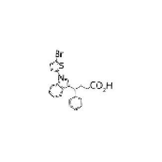 O=C(O)CCC(c1ccccc1)c1cn(-c2ccc(Br)s2)c2ccccc12